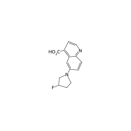 O=C(O)c1ccnc2ccc(N3CCC(F)C3)cc12